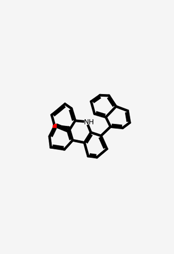 c1ccc(Nc2c(-c3ccccc3)cccc2-c2cccc3ccccc23)cc1